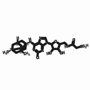 C[C@]12C[C@@H]3C[C@](C)(C1)C[C@@](Nc1nc(Cl)nc4c1ncn4C1OC(CNC(=O)CS(=O)(=O)O)C(O)C1O)(C3)C2